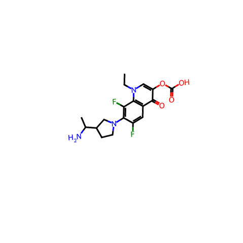 CCn1cc(OC(=O)O)c(=O)c2cc(F)c(N3CCC(C(C)N)C3)c(F)c21